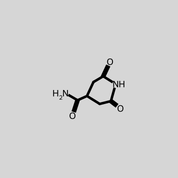 NC(=O)C1CC(=O)NC(=O)C1